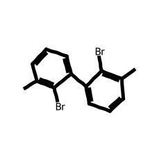 Cc1cccc(-c2cccc(C)c2Br)c1Br